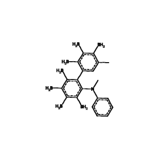 Bc1c(C)cc(-c2c(B)c(B)c(B)c(B)c2N(C)c2ccccc2)c(B)c1B